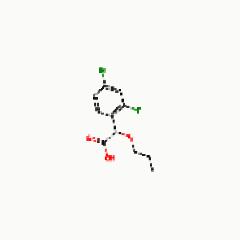 CCCOC(C(=O)O)c1ccc(Br)cc1F